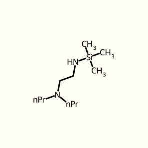 CCCN(CCC)CCN[Si](C)(C)C